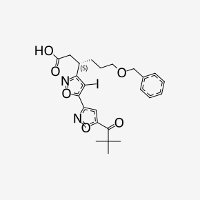 CC(C)(C)C(=O)c1cc(-c2onc([C@@H](CCCOCc3ccccc3)CC(=O)O)c2I)no1